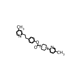 Cc1ccc(N2CCN(C(=O)Oc3ccc(CCc4cc(C)ccn4)cc3)CC2)nc1